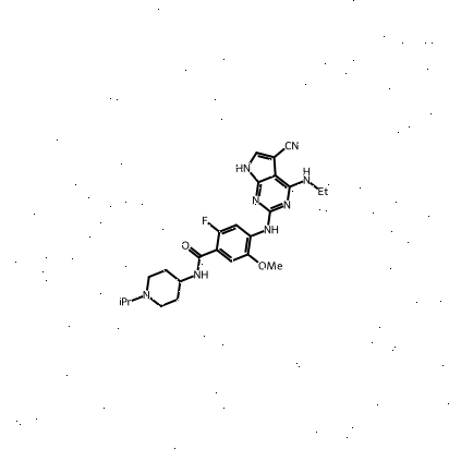 CCNc1nc(Nc2cc(F)c(C(=O)NC3CCN(C(C)C)CC3)cc2OC)nc2[nH]cc(C#N)c12